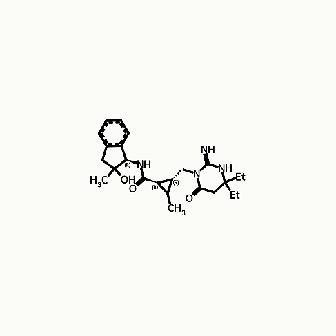 CCC1(CC)CC(=O)N(C[C@@H]2C(C)[C@H]2C(=O)N[C@@H]2c3ccccc3CC2(C)O)C(=N)N1